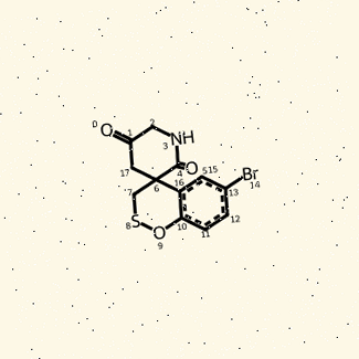 O=C1CNC(=O)C2(CSOc3ccc(Br)cc32)C1